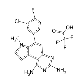 Cn1ccc2c3c(N)nc(N)nc3cc(-c3ccc(F)c(Cl)c3)c21.O=C(O)C(F)(F)F